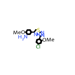 COc1ccc(C2=Nn3c(nnc3-c3ccc(Cl)cc3OC)SC2)cc1N